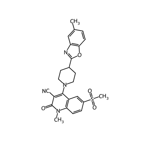 Cc1ccc2oc(C3CCN(c4c(C#N)c(=O)n(C)c5ccc(S(C)(=O)=O)cc45)CC3)nc2c1